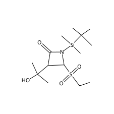 CCS(=O)(=O)C1C(C(C)(C)O)C(=O)N1[Si](C)(C)C(C)(C)C